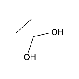 CC.OCO